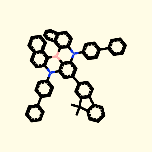 CC1(C)c2ccccc2-c2ccc(-c3cc4c5c(c3)N(c3ccc(-c6ccccc6)cc3)c3ccc6ccccc6c3B5c3c(ccc5ccccc35)N4c3ccc(-c4ccccc4)cc3)cc21